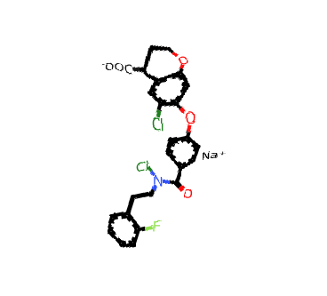 O=C([O-])C1CCOc2cc(Oc3ccc(C(=O)N(Cl)CCc4ccccc4F)cc3)c(Cl)cc21.[Na+]